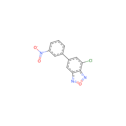 O=[N+]([O-])c1cccc(-c2cc(Cl)c3nonc3c2)c1